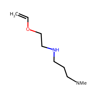 C=COCCNCCCNC